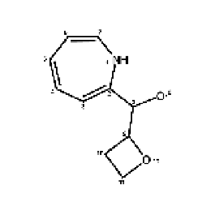 [O]C(C1=CC=CC=CN1)C1CCO1